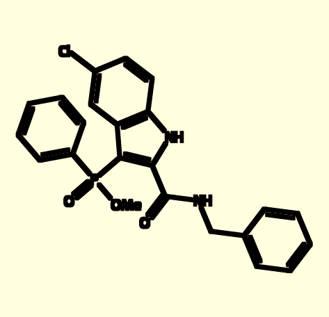 COP(=O)(c1ccccc1)c1c(C(=O)NCc2ccccc2)[nH]c2ccc(Cl)cc12